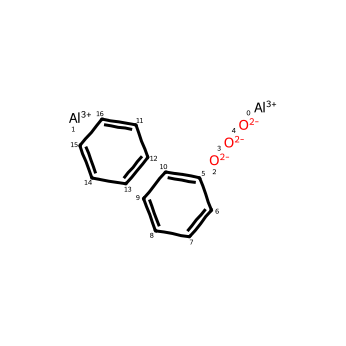 [Al+3].[Al+3].[O-2].[O-2].[O-2].c1ccccc1.c1ccccc1